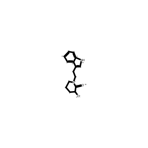 CCC1CCCN(CCc2c[nH]c3ccccc23)C1=O